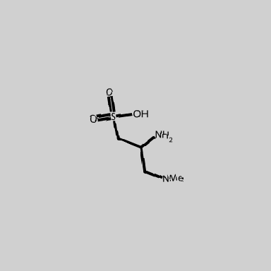 CNCC(N)CS(=O)(=O)O